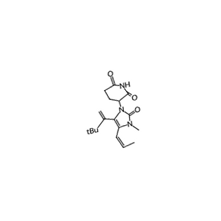 C=C(c1c(/C=C\C)n(C)c(=O)n1C1CCC(=O)NC1=O)C(C)(C)C